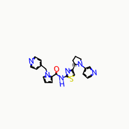 O=C(Nc1nc([C@H]2CCCN2c2cccnc2)cs1)c1cccn1Cc1ccncc1